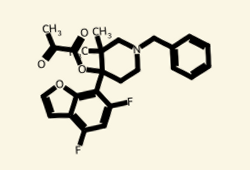 CC(=O)C(=O)OC1(c2c(F)cc(F)c3ccoc23)CCN(Cc2ccccc2)CC1(C)C